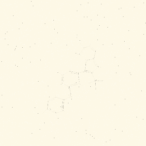 COc1ccc2nc(C(F)(F)F)c(-c3cncc(Nc4ccc(F)cc4)n3)n2c1